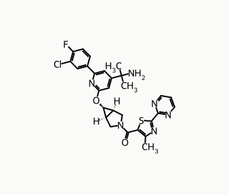 Cc1nc(-c2ncccn2)sc1C(=O)N1C[C@@H]2[C@H](C1)[C@@H]2Oc1cc(C(C)(C)N)cc(-c2ccc(F)c(Cl)c2)n1